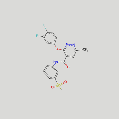 CS(=O)(=O)c1cccc(NC(=O)c2cc(C(F)(F)F)nnc2Oc2ccc(F)c(F)c2)c1